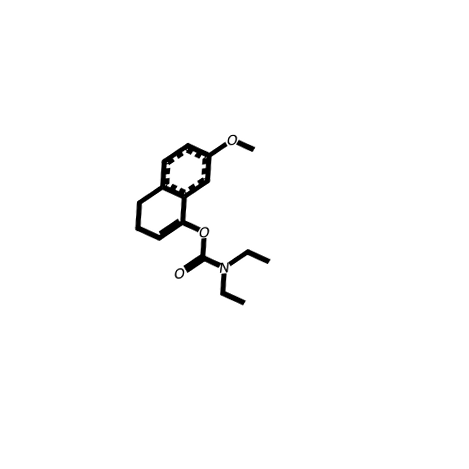 CCN(CC)C(=O)OC1=CCCc2ccc(OC)cc21